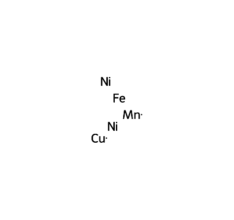 [Cu].[Fe].[Mn].[Ni].[Ni]